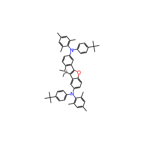 Cc1cc(C)c(N(c2ccc(C(C)(C)C)cc2)c2ccc3c(c2)-c2oc4ccc(N(c5ccc(C(C)(C)C)cc5)c5c(C)cc(C)cc5C)cc4c2[Si]3(C)C)c(C)c1